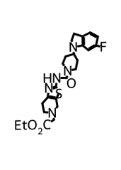 CCOC(=O)CN1CCc2nc(NC(=O)N3CCC(N4CCc5ccc(F)cc54)CC3)sc2C1